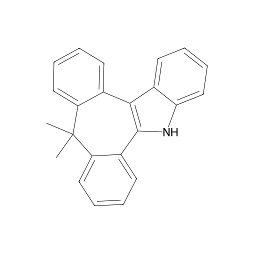 CC1(C)c2ccccc2-c2[nH]c3ccccc3c2-c2ccccc21